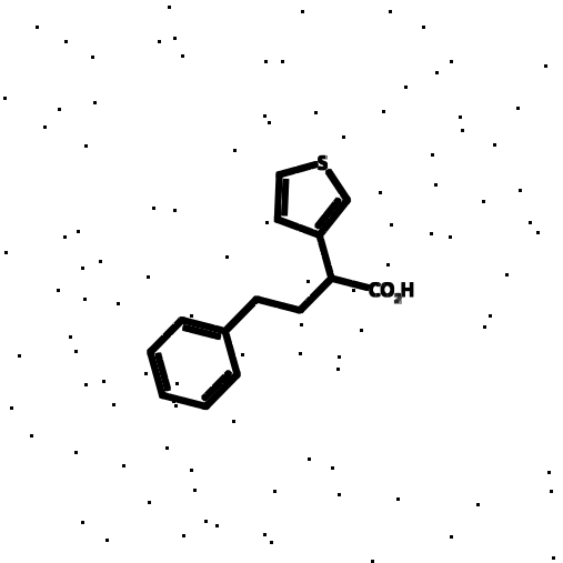 O=C(O)C(CCc1ccccc1)c1ccsc1